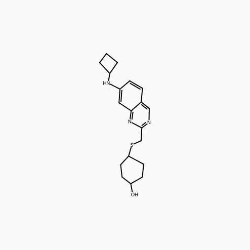 OC1CCC(SCc2ncc3ccc(NC4CCC4)cc3n2)CC1